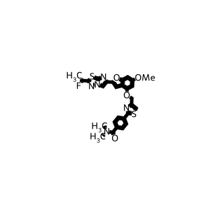 COc1cc(OCc2csc(-c3ccc(C(=O)N(C)C)cc3)n2)c2cc(-c3cn4nc(C(C)F)sc4n3)oc2c1